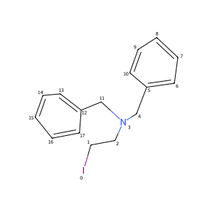 ICCN(Cc1ccccc1)Cc1ccccc1